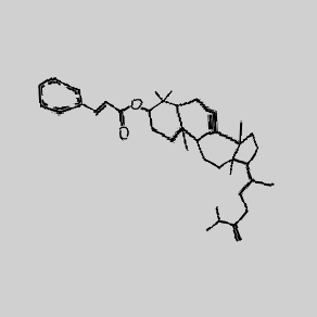 C=C(CCC(C)C1CCC2(C)C3=CCC4C(C)(C)C(OC(=O)/C=C/c5ccccc5)CCC4(C)C3CCC12C)C(C)C